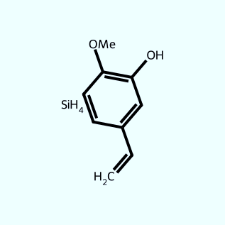 C=Cc1ccc(OC)c(O)c1.[SiH4]